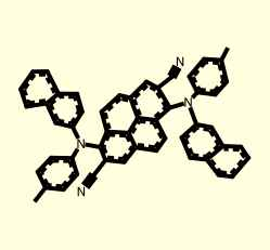 Cc1ccc(N(c2ccc3ccccc3c2)c2c(C#N)cc3ccc4c(N(c5ccc(C)cc5)c5ccc6ccccc6c5)c(C#N)cc5ccc2c3c54)cc1